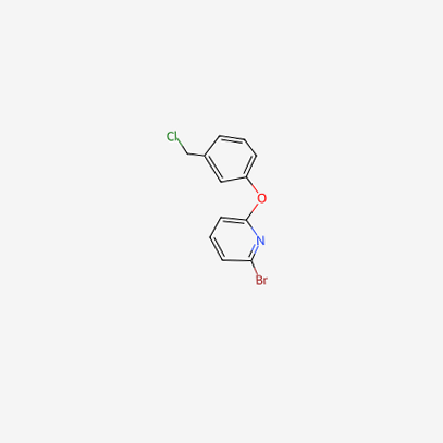 ClCc1cccc(Oc2cccc(Br)n2)c1